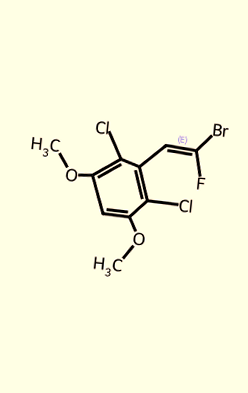 COc1cc(OC)c(Cl)c(/C=C(\F)Br)c1Cl